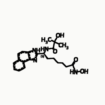 CC(C)(O)C(=O)N[C@@H](CCCCCC(=O)NO)c1nc2c(ccc3ccccc32)[nH]1